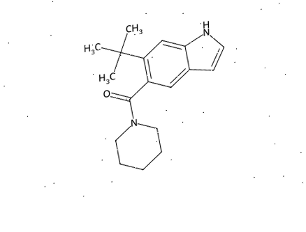 CC(C)(C)c1cc2[nH]ccc2cc1C(=O)N1CCCCC1